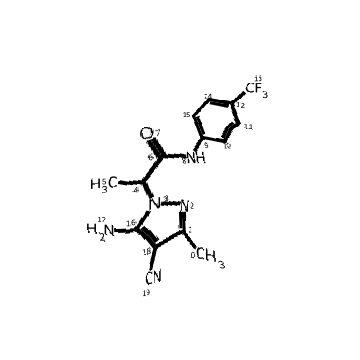 Cc1nn(C(C)C(=O)Nc2ccc(C(F)(F)F)cc2)c(N)c1C#N